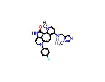 CN1C=CC(NCc2cncn2C)=c2ccc3c4c([nH]c(=O)c-4c21)=CCN3c1ccc(F)cc1